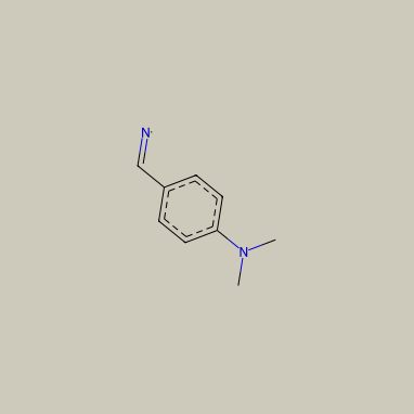 CN(C)c1ccc(C=[N])cc1